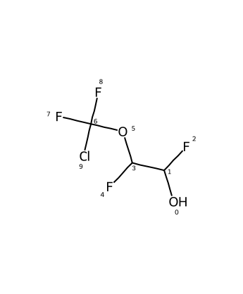 OC(F)C(F)OC(F)(F)Cl